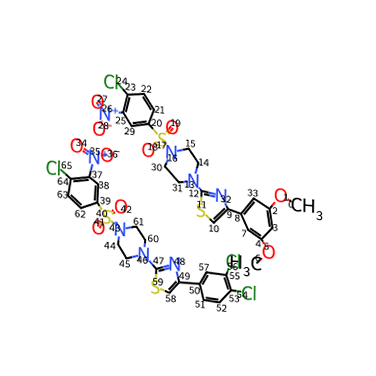 COc1cc(OC)cc(-c2csc(N3CCN(S(=O)(=O)c4ccc(Cl)c([N+](=O)[O-])c4)CC3)n2)c1.O=[N+]([O-])c1cc(S(=O)(=O)N2CCN(c3nc(-c4ccc(Cl)c(Cl)c4)cs3)CC2)ccc1Cl